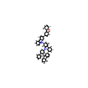 c1ccc([Si](c2ccccc2)(c2ccccc2)c2cccc(-n3c4ccccc4c4ccc(-n5c6ccccc6c6ccc(-c7ccc8oc9ccccc9c8c7)cc65)cc43)c2)cc1